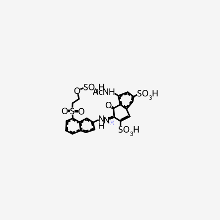 CC(=O)Nc1cc(S(=O)(=O)O)cc2c1C(=O)/C(=N\Nc1ccc3cccc(S(=O)(=O)CCOS(=O)(=O)O)c3c1)C(S(=O)(=O)O)=C2